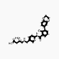 O=C(O)C[C@H](O)CNCc1ccc(NC(=O)c2cccc(-c3ccc4c(c3)OCCO4)c2Cl)nc1